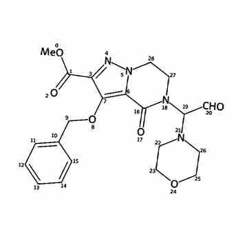 COC(=O)c1nn2c(c1OCc1ccccc1)C(=O)N(C(C=O)N1CCOCC1)CC2